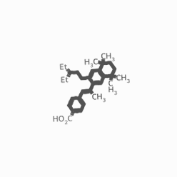 CCC(CC)CCc1cc2c(cc1C(C)=Cc1ccc(C(=O)O)cc1)C(C)(C)CCC2(C)C